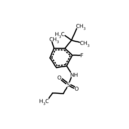 CCCS(=O)(=O)Nc1ccc(C)c(C(C)(C)C)c1F